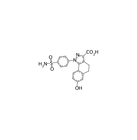 NS(=O)(=O)c1ccc(-n2nc(C(=O)O)c3c2-c2ccc(O)cc2CC3)cc1